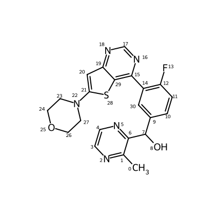 Cc1nccnc1C(O)c1ccc(F)c(-c2ncnc3cc(N4CCOCC4)sc23)c1